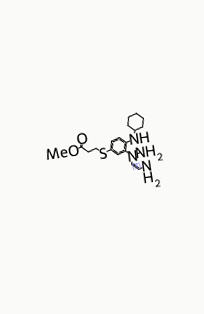 COC(=O)CCSc1ccc(NC2CCCCC2)c(N(N)/C=C\N)c1